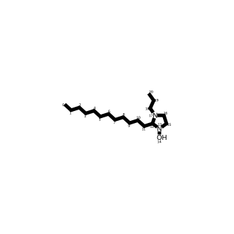 CCCCCCCCCCCCC1N(O)CCN1CCC